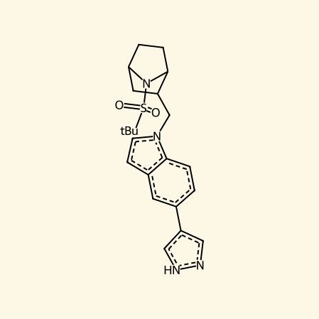 CC(C)(C)S(=O)(=O)N1C2CCC1C(Cn1ccc3cc(-c4cn[nH]c4)ccc31)C2